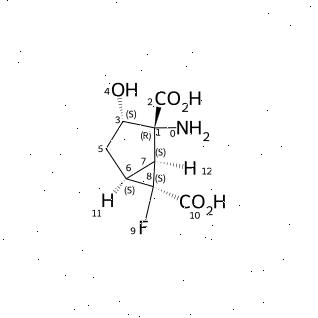 N[C@@]1(C(=O)O)[C@@H](O)C[C@H]2[C@@H]1[C@]2(F)C(=O)O